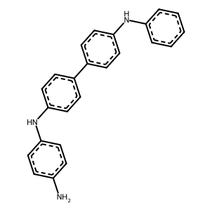 Nc1ccc(Nc2ccc(-c3ccc(Nc4ccccc4)cc3)cc2)cc1